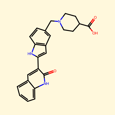 O=C(O)C1CCN(Cc2ccc3[nH]c(-c4cc5ccccc5[nH]c4=O)cc3c2)CC1